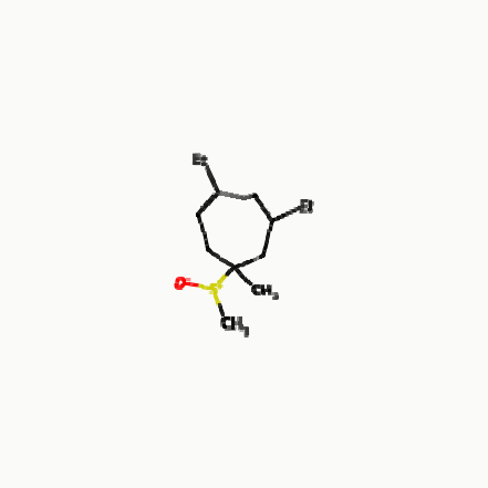 CCC1CCC(C)([S+](C)[O-])CC(CC)C1